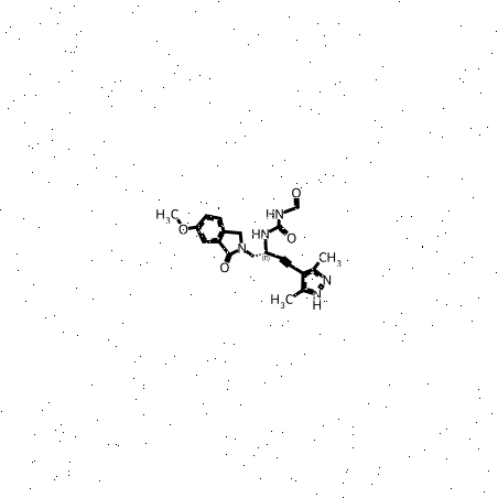 COc1ccc2c(c1)C(=O)N(C[C@@H](C#Cc1c(C)n[nH]c1C)NC(=O)NC=O)C2